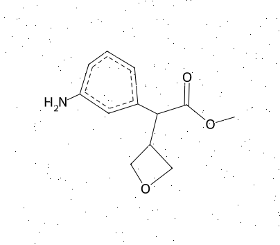 COC(=O)C(c1cccc(N)c1)C1COC1